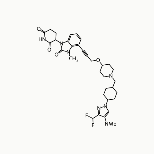 CNc1cn(C2CCC(CN3CCC(OCC#Cc4cccc5c4n(C)c(=O)n5C4CCC(=O)NC4=O)CC3)CC2)nc1C(F)F